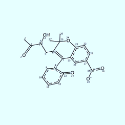 CC(=O)N(O)CC1=C(n2ccccc2=O)c2cc([N+](=O)[O-])ccc2OC1(C)C